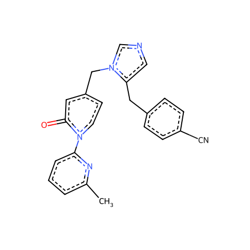 Cc1cccc(-n2ccc(Cn3cncc3Cc3ccc(C#N)cc3)cc2=O)n1